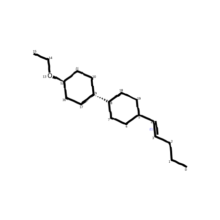 CCC/C=C/C1CCC([C@H]2CC[C@H](OCC)CC2)CC1